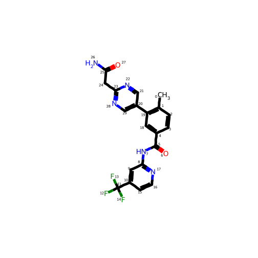 Cc1ccc(C(=O)Nc2cc(C(F)(F)F)ccn2)cc1-c1cnc(CC(N)=O)nc1